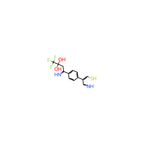 N=C/C(=C\S)c1ccc(C(=N)CC(O)(O)C(F)(F)F)cc1